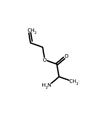 [CH2]C(N)C(=O)OCC=C